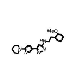 COc1ccccc1CCNc1cc(-c2ccc(N3CCCCC3)nc2)ncn1